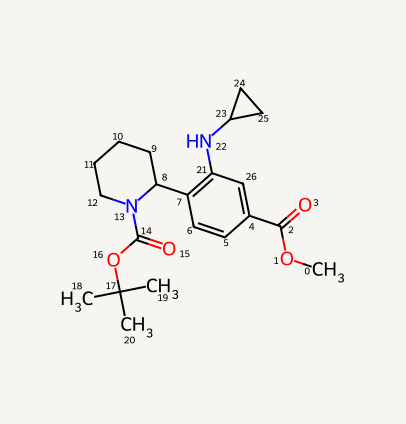 COC(=O)c1ccc(C2CCCCN2C(=O)OC(C)(C)C)c(NC2CC2)c1